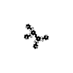 O=C(Oc1cc(/C=C/c2ccc(OC(=O)c3cccnc3)c(OC(=O)c3cccnc3)c2)cc(OC(=O)c2cccnc2)c1)c1cccnc1